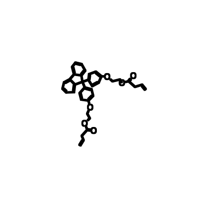 C=CCC(=O)OCCOc1ccc(C2(c3ccc(OCCOC(=O)CC=C)cc3)c3ccccc3-c3ccccc32)cc1